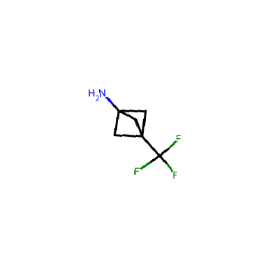 NC12CC(C(F)(F)F)(C1)C2